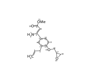 C=CCc1cc(C(N)=CC(=O)OC)ccc1OCC1CO1